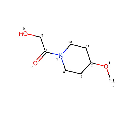 CCOC1CCN(C(=O)CO)CC1